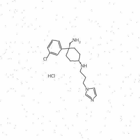 Cl.NC[C@]1(c2cccc(Cl)c2)CC[C@H](NCCCn2ccnc2)CC1